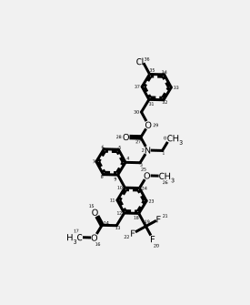 CCN(Cc1ccccc1-c1cc(CC(=O)OC)c(C(F)(F)F)cc1OC)C(=O)OCc1cccc(Cl)c1